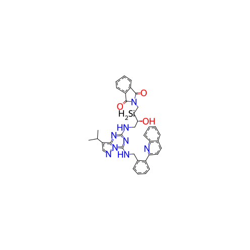 CC(C)c1cnn2c(NCc3ccccc3-c3ccc4ccccc4n3)nc(NC[C@H](O)[SiH2]CN3C(=O)c4ccccc4C3=O)nc12